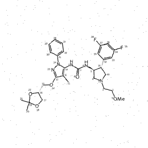 COCCN1C[C@@H](NC(=O)Nc2c(C)c(OC[C@@H]3COC(C)(C)O3)nn2-c2ccccc2)[C@H](c2cc(F)cc(F)c2)C1